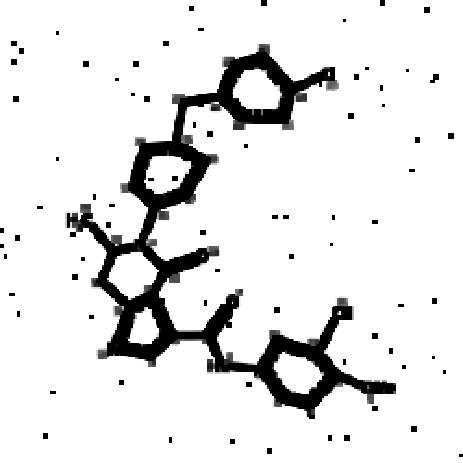 COc1ccc(NC(=O)c2cnn3c2C(=O)N(c2ccc(Cc4ccc(Cl)cc4)cc2)C(C)C3)cc1C#N